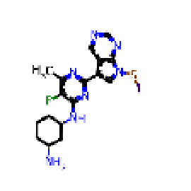 Cc1nc(-c2cn(SI)c3ncncc23)nc(N[C@@H]2CCC[C@H](N)C2)c1F